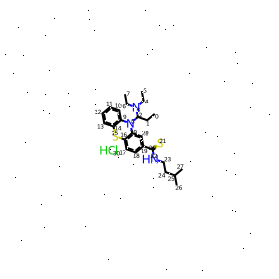 CCC(N(CC)CC)N1c2ccccc2Sc2ccc(C(=S)NCCC(C)C)cc21.Cl